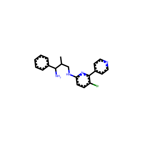 CC(CNc1ccc(Br)c(-c2ccncc2)n1)C(N)c1ccccc1